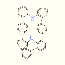 c1ccc(-c2ccccc2Nc2ccccc2-c2ccc(-c3ccccc3Nc3ccccc3-c3ccccc3)cc2)cc1